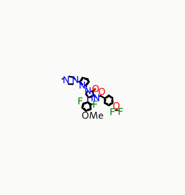 COc1cc(F)c([C@@H]2CN(c3cccc(N4CCN(C)CC4)n3)C(=O)[C@H]2NC(=O)c2ccc(OC(F)F)cc2)c(F)c1